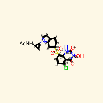 CC(=O)N[C@@H]1C[C@H]1n1ccc2ccc(S(=O)(=O)c3ccc(Cl)c4c(=O)n(O)c(=O)[nH]c34)cc21